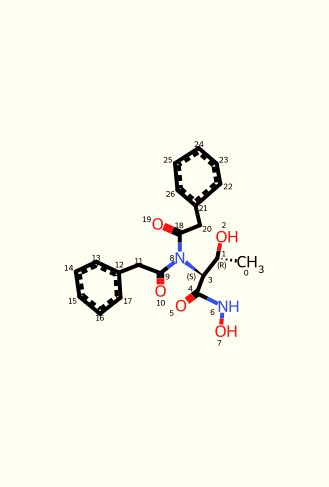 C[C@@H](O)[C@@H](C(=O)NO)N(C(=O)Cc1ccccc1)C(=O)Cc1ccccc1